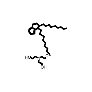 CCCCCCCCCc1ccc2ccccc2c1CCCCCCCCC.OCCN(CCO)CCO